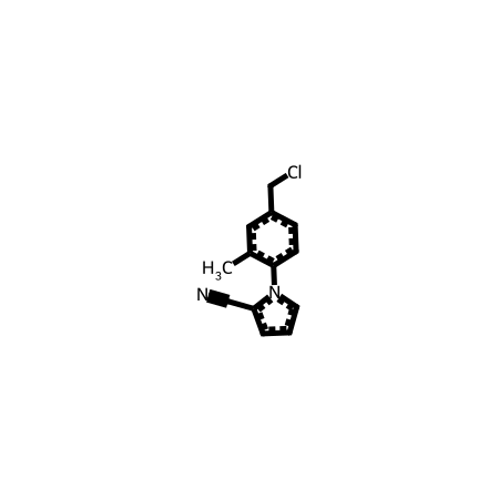 Cc1cc(CCl)ccc1-n1cccc1C#N